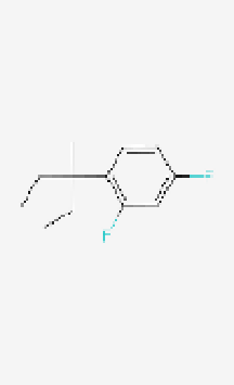 CCC(C)(CC)c1ccc(F)cc1F